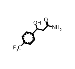 NC(=O)CC(O)c1ccc(C(F)(F)F)cc1